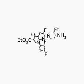 CCOC(=O)c1cn(-c2ccc(F)cc2F)c2nc(N3CCC(N)C(CC)C3)c(F)cc2c1=O